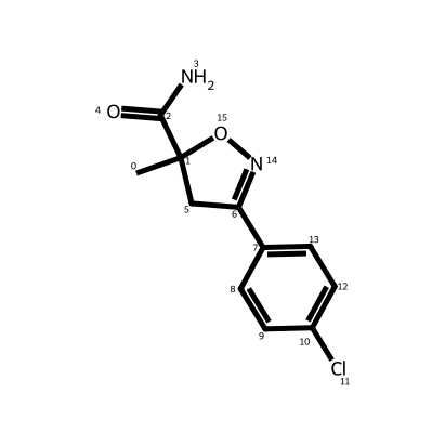 CC1(C(N)=O)CC(c2ccc(Cl)cc2)=NO1